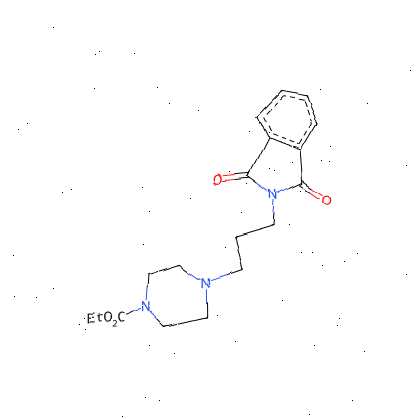 CCOC(=O)N1CCN(CCCN2C(=O)c3ccccc3C2=O)CC1